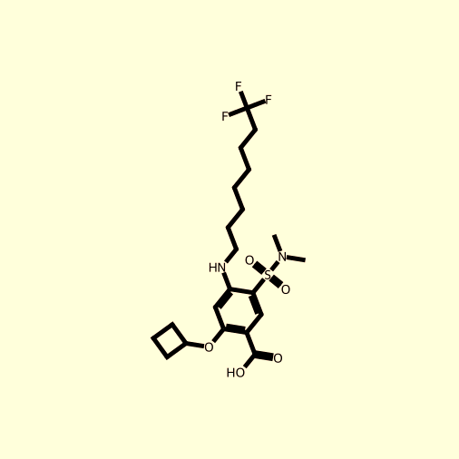 CN(C)S(=O)(=O)c1cc(C(=O)O)c(OC2CCC2)cc1NCCCCCCCC(F)(F)F